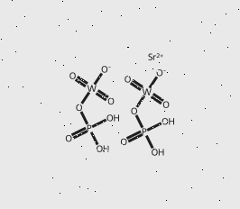 O=P(O)(O)[O][W](=[O])(=[O])[O-].O=P(O)(O)[O][W](=[O])(=[O])[O-].[Sr+2]